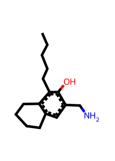 CCCCCc1c(O)c(CN)cc2c1CCCC2